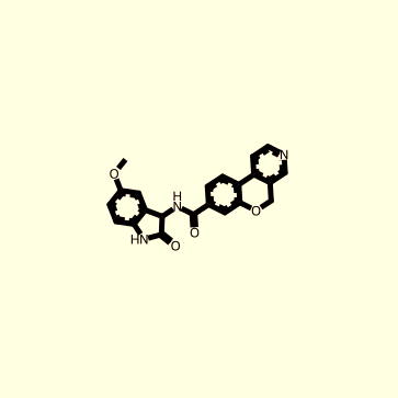 COc1ccc2c(c1)C(NC(=O)c1ccc3c(c1)OCc1cnccc1-3)C(=O)N2